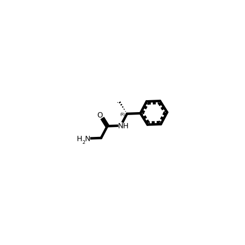 [CH2][C@@H](NC(=O)CN)c1ccccc1